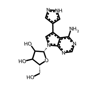 Nc1ncnc2c1c(-c1cn[nH]c1)cn2[C@@H]1O[C@H](CO)C(O)C1O